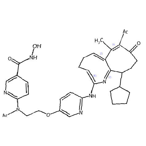 CC(=O)/C1=C(C)/C2=C/CC/C=C(Nc3ccc(OCCN(C(C)=O)c4ccc(C(=O)NO)cn4)cn3)/N=C\2C(C2CCCC2)CCC1=O